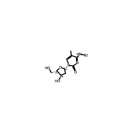 CCNc1nc(=O)n([C@@H]2C[C@@H](O)[C@H](CO)O2)cc1C